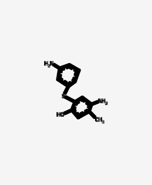 Cc1cc(O)c(Sc2cccc(N)c2)cc1N